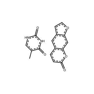 Cc1c[nH]c(=O)[nH]c1=O.O=c1ccc2cc3ccoc3cc2o1